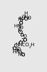 Cc1c(O[C@H]2CCC3(CCN(CC(=O)Nc4ccc5c(C6CCC(=O)NC6=O)nn(C)c5c4)CC3)C2)cccc1-c1ccc(N2CCc3cccc(C(=O)Nc4nc5ccccc5s4)c3C2)nc1C(=O)O